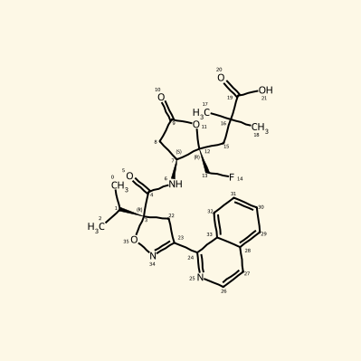 CC(C)[C@@]1(C(=O)N[C@H]2CC(=O)O[C@]2(CF)CC(C)(C)C(=O)O)CC(c2nccc3ccccc23)=NO1